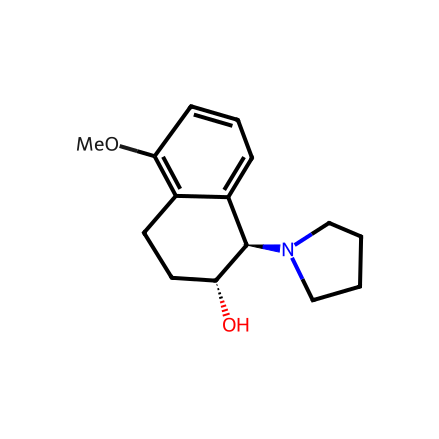 COc1cccc2c1CC[C@@H](O)[C@@H]2N1CCCC1